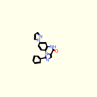 O=c1[nH]c2cc(-n3cccn3)ccc2n2c(-c3ccccc3)ncc12